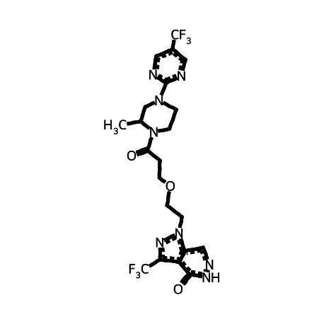 CC1CN(c2ncc(C(F)(F)F)cn2)CCN1C(=O)CCOCCn1nc(C(F)(F)F)c2c(=O)[nH]ncc21